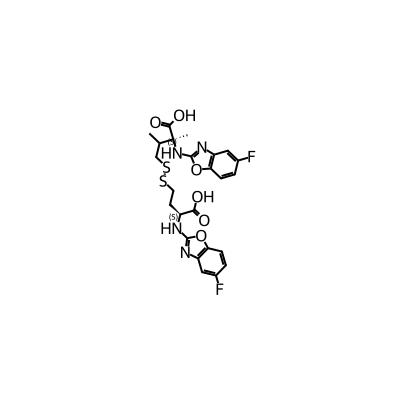 CC(CSSCC[C@H](Nc1nc2cc(F)ccc2o1)C(=O)O)[C@](C)(Nc1nc2cc(F)ccc2o1)C(=O)O